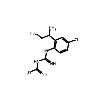 CCC(C)c1cc(Cl)ccc1NC(=N)NC(=N)N